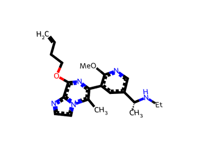 C=CCCOc1nc(-c2cc([C@@H](C)NCC)cnc2OC)c(C)n2ccnc12